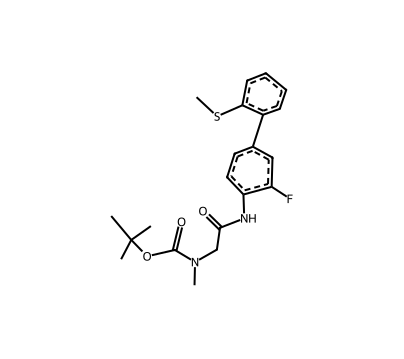 CSc1ccccc1-c1ccc(NC(=O)CN(C)C(=O)OC(C)(C)C)c(F)c1